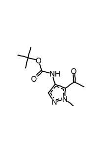 CC(=O)c1c(NC(=O)OC(C)(C)C)cnn1C